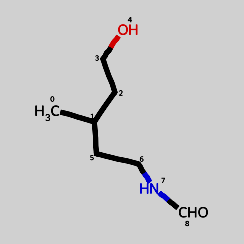 CC(CCO)CCNC=O